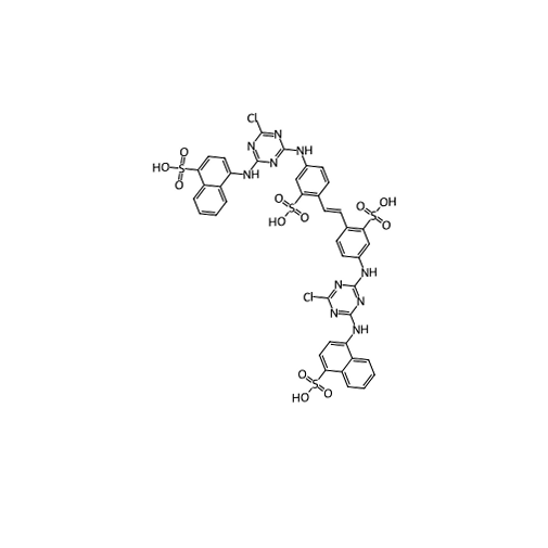 O=S(=O)(O)c1cc(Nc2nc(Cl)nc(Nc3ccc(S(=O)(=O)O)c4ccccc34)n2)ccc1C=Cc1ccc(Nc2nc(Cl)nc(Nc3ccc(S(=O)(=O)O)c4ccccc34)n2)cc1S(=O)(=O)O